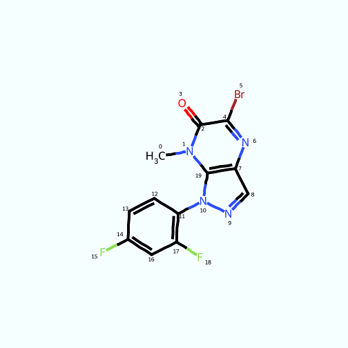 Cn1c(=O)c(Br)nc2cnn(-c3ccc(F)cc3F)c21